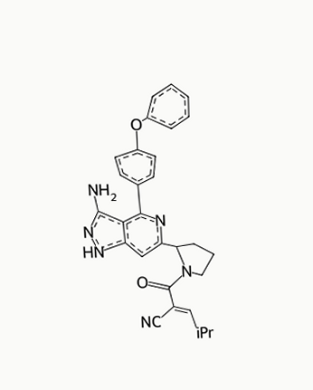 CC(C)C=C(C#N)C(=O)N1CCCC1c1cc2[nH]nc(N)c2c(-c2ccc(Oc3ccccc3)cc2)n1